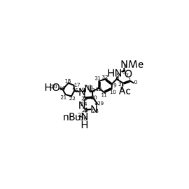 C/C=C(\C(C)=O)C(NC(=O)NC)c1ccc(-c2nn(C3CCC(O)CC3)c3nc(NCCCC)ncc23)cc1